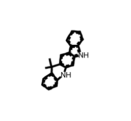 CC1(C)c2ccccc2Nc2cc3[nH]c4ccccc4c3cc21